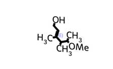 COC(C)C(C)/C(C)=C/CO